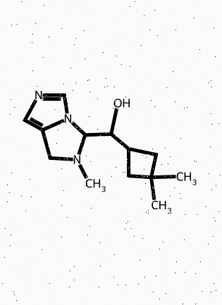 CN1Cc2cncn2C1C(O)C1CC(C)(C)C1